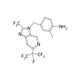 Cc1cc(Cn2c(C(F)(F)F)nc3cc(C(F)(C(F)(F)F)C(F)(F)F)ncc32)ccc1N